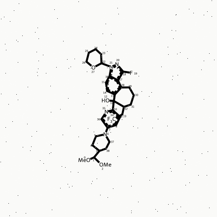 COC(OC)C1CCN(c2ccc(C3(O)c4ccc5c(c(F)nn5C5CCCCO5)c4CCCC3CC(F)(F)F)nc2)CC1